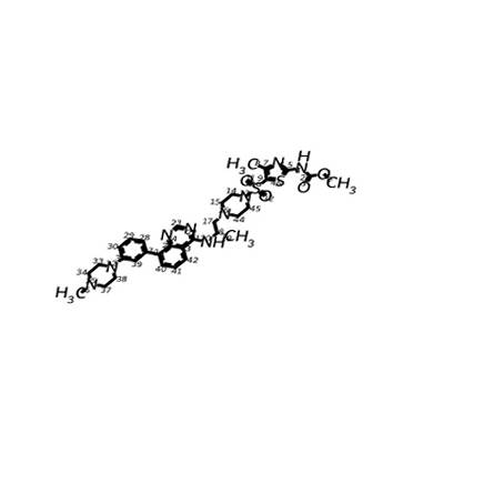 COC(=O)Nc1nc(C)c(S(=O)(=O)N2CCN(C[C@H](C)Nc3ncnc4c(-c5cccc(N6CCN(C)CC6)c5)cccc34)CC2)s1